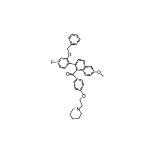 COc1ccc2c(C(=O)c3ccc(OCCN4CCCCC4)cc3)c(-c3ccc(F)cc3OCc3ccccc3)ccc2c1